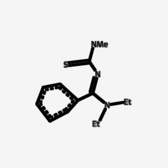 CCN(CC)/C(=N/C(=S)NC)c1ccccc1